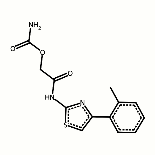 Cc1ccccc1-c1csc(NC(=O)COC(N)=O)n1